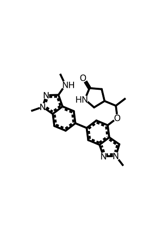 CNc1nn(C)c2ccc(-c3cc(OC(C)C4CNC(=O)C4)c4cn(C)nc4c3)cc12